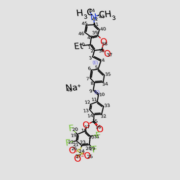 CCc1c(/C=C/c2ccc(/C=C/c3ccc(C(=O)Oc4c(F)c(F)c(S(=O)(=O)[O-])c(F)c4F)cc3)cc2)c(=O)oc2cc(N(C)C)ccc12.[Na+]